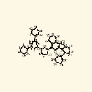 c1ccc(-c2cc(-c3cccc(-c4cc5c(oc6cccc(-c7ccccc7)c65)c5ccccc45)c3)nc(-c3ccccc3)n2)cc1